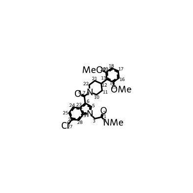 CNC(=O)Cn1cc(C(=O)N2CCC(c3c(OC)cccc3OC)CC2)c2ccc(Cl)cc21